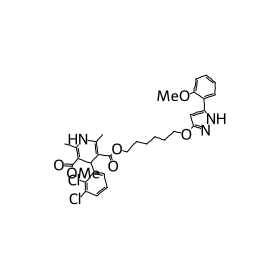 COC(=O)C1=C(C)NC(C)=C(C(=O)OCCCCCCOc2cc(-c3ccccc3OC)[nH]n2)C1c1cccc(Cl)c1Cl